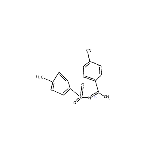 C/C(=N/S(=O)(=O)c1ccc(C)cc1)c1ccc(C#N)cc1